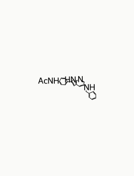 CC(=O)Nc1ccc(-c2cc3cc(NCc4ccccc4)cnc3[nH]2)cc1